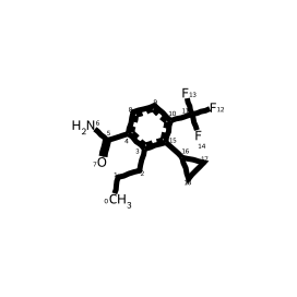 CCCc1c(C(N)=O)ccc(C(F)(F)F)c1C1CC1